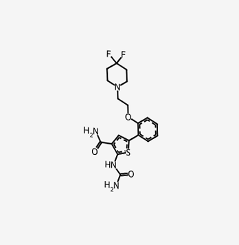 NC(=O)Nc1sc(-c2ccccc2OCCN2CCC(F)(F)CC2)cc1C(N)=O